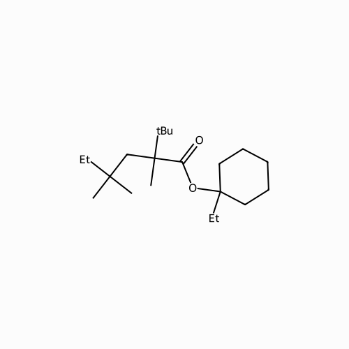 CCC(C)(C)CC(C)(C(=O)OC1(CC)CCCCC1)C(C)(C)C